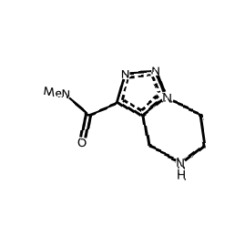 CNC(=O)c1nnn2c1CNCC2